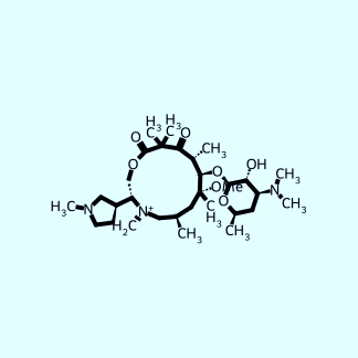 C=[N+]1C[C@H](C)C[C@@](C)(OC)[C@H](O[C@@H]2O[C@H](C)C[C@H](N(C)C)[C@H]2O)[C@@H](C)C(=O)C(C)(C)C(=O)OC[C@H]1[C@H]1CCN(C)C1